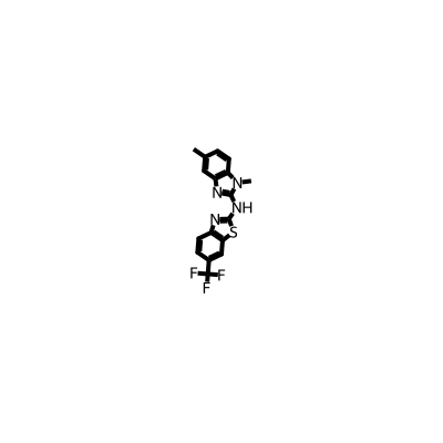 Cc1ccc2c(c1)nc(Nc1nc3ccc(C(F)(F)F)cc3s1)n2C